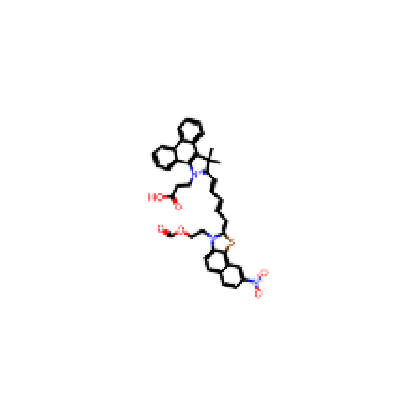 CC1(C)C(/C=C/C=C/C=C2/Sc3c(ccc4ccc([N+](=O)[O-])cc34)N2CCOC=O)=[N+](CCC(=O)O)c2c1c1ccccc1c1ccccc21